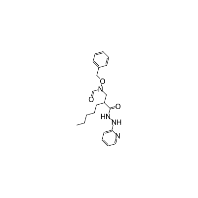 CCCCCC(CN(C=O)OCc1ccccc1)C(=O)NNc1ccccn1